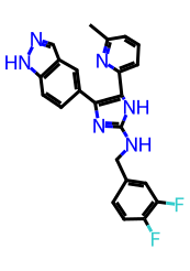 Cc1cccc(-c2[nH]c(NCc3ccc(F)c(F)c3)nc2-c2ccc3[nH]ncc3c2)n1